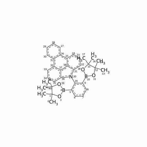 CC1(C)OB(c2cccc(B3OC(C)(C)C(C)(C)O3)c2-n2c3cccc4c5ccccc5c5cccc2c5c43)OC1(C)C